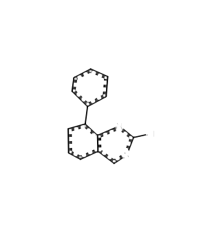 Clc1n[c]c2cccc(-c3ccccc3)c2n1